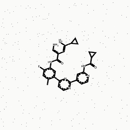 Cc1cc(F)c(NC(=O)C(/C=C(\N)C2CC2)=C/N)cc1-c1ccnc(-c2ccnc(NC(=O)C3CC3)c2)n1